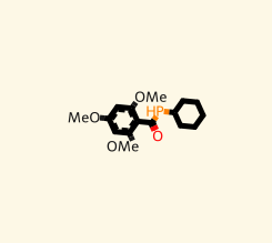 COc1cc(OC)c(C(=O)PC2CCCCC2)c(OC)c1